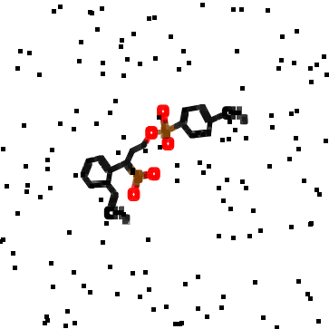 C=Cc1ccccc1C(CCOS(=O)(=O)c1ccc(C)cc1)=S(=O)=O